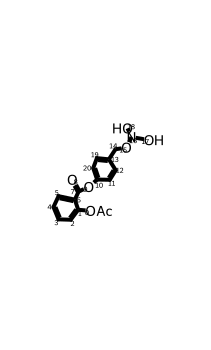 CC(=O)Oc1ccccc1C(=O)Oc1ccc(CON(O)O)cc1